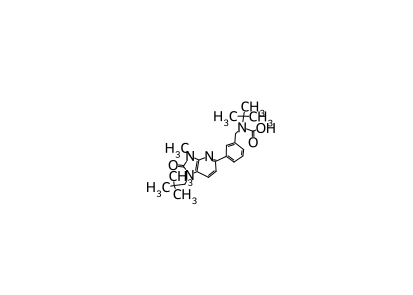 Cn1c(=O)n(CC(C)(C)C)c2ccc(-c3cccc(CN(C(=O)O)C(C)(C)C)c3)nc21